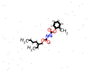 CCCCC(CC)COC(=O)/N=N/C(=O)Oc1ccccc1C